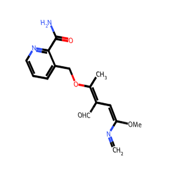 C=N/C(=C\C(C=O)=C(/C)OCc1cccnc1C(N)=O)OC